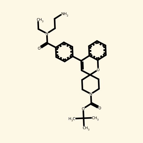 CCN(CCN)C(=O)c1ccc(C2=CC3(CCN(C(=O)OC(C)(C)C)CC3)Oc3ccccc32)cc1